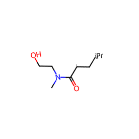 CC(C)C[CH]C(=O)N(C)CCO